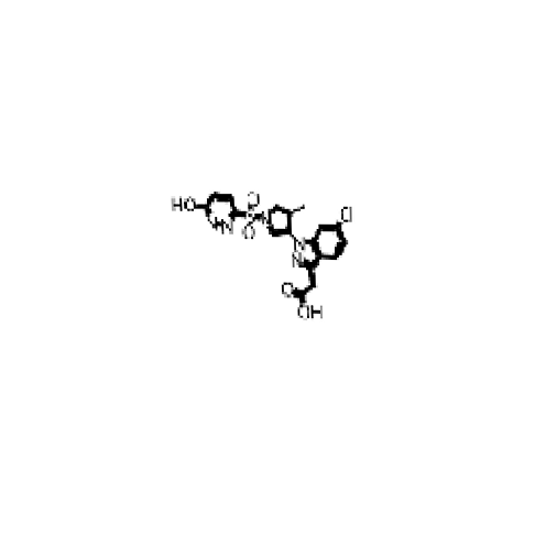 C[C@@H]1CN(S(=O)(=O)c2ccc(O)nn2)C[C@@H]1n1nc(CC(=O)O)c2ccc(Cl)cc21